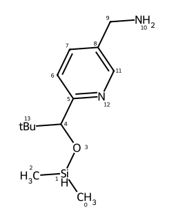 C[SiH](C)OC(c1ccc(CN)cn1)C(C)(C)C